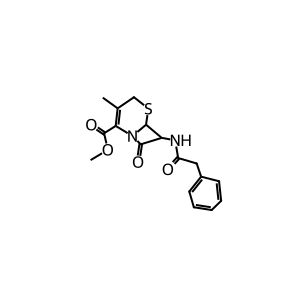 COC(=O)C1=C(C)CSC2C(NC(=O)Cc3ccccc3)C(=O)N12